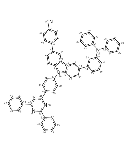 N#Cc1ccc(-c2ccc3c(c2)c2cc(-c4cccc(N(c5ccccc5)c5ccccc5)c4)ccc2n3-c2ccc(-c3cc(-c4ccccc4)nc(-c4ccccc4)n3)cc2)cc1